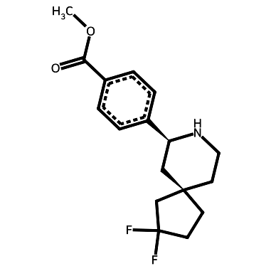 COC(=O)c1ccc([C@@H]2C[C@@]3(CCN2)CCC(F)(F)C3)cc1